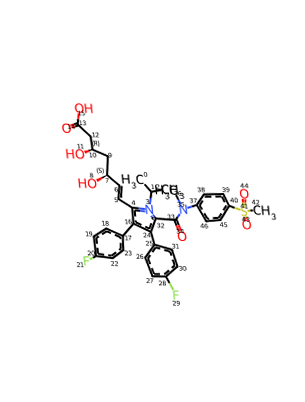 CC(C)n1c(C=C[C@@H](O)C[C@@H](O)CC(=O)O)c(-c2ccc(F)cc2)c(-c2ccc(F)cc2)c1C(=O)N(C)c1ccc(S(C)(=O)=O)cc1